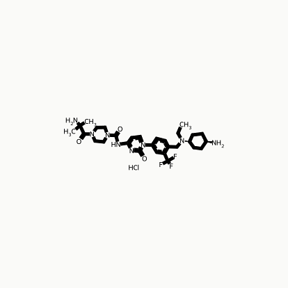 CCN(Cc1ccc(-n2ccc(NC(=O)N3CCN(C(=O)C(C)(C)N)CC3)nc2=O)cc1C(F)(F)F)[C@H]1CC[C@H](N)CC1.Cl